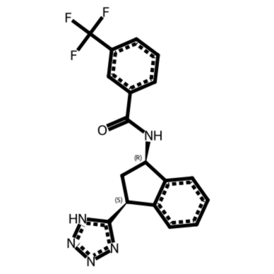 O=C(N[C@@H]1C[C@H](c2nnn[nH]2)c2ccccc21)c1cccc(C(F)(F)F)c1